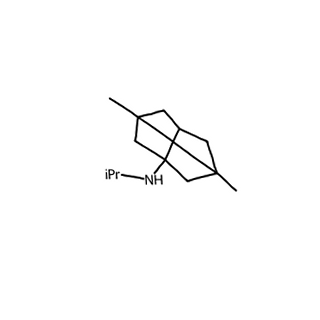 CC(C)NC12CC3(C)CC1CC3(C)C2